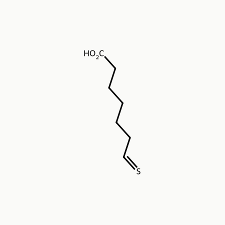 O=C(O)CCCCCC=S